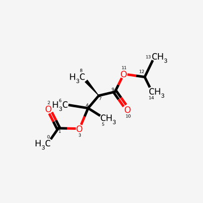 CC(=O)OC(C)(C)[C@@H](C)C(=O)OC(C)C